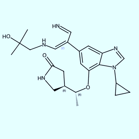 C[C@@H](Oc1cc(/C(C=N)=C/NCC(C)(C)O)cc2ncn(C3CC3)c12)[C@H]1CNC(=O)C1